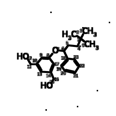 CC(C)(C)[CH]CC(Oc1cc(CO)cc(CO)c1)c1ccccc1